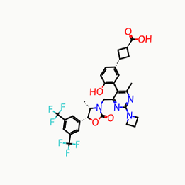 Cc1nc(N2CCC2)nc(CN2C(=O)O[C@H](c3cc(C(F)(F)F)cc(C(F)(F)F)c3)[C@@H]2C)c1-c1cc([C@H]2C[C@H](C(=O)O)C2)ccc1O